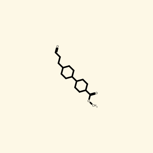 COC(=O)C1CCC(C2CCC(CCC=O)CC2)CC1